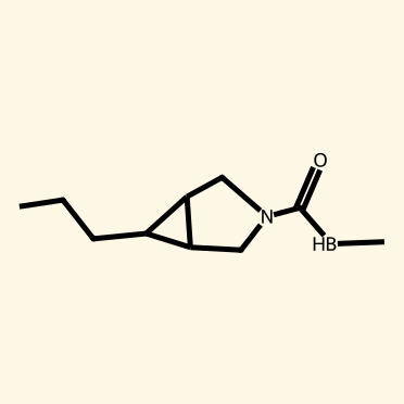 CBC(=O)N1CC2C(CCC)C2C1